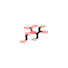 OB(O)O.OC(CS)C(O)CS.OCCO